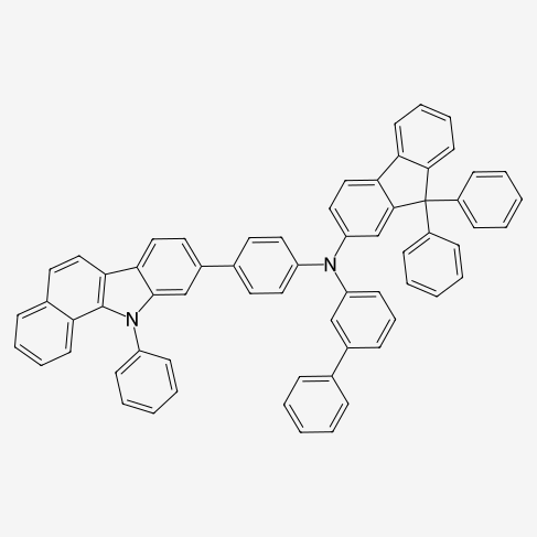 c1ccc(-c2cccc(N(c3ccc(-c4ccc5c6ccc7ccccc7c6n(-c6ccccc6)c5c4)cc3)c3ccc4c(c3)C(c3ccccc3)(c3ccccc3)c3ccccc3-4)c2)cc1